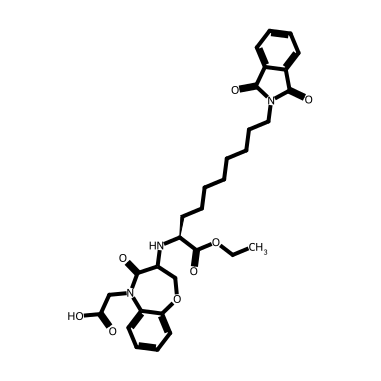 CCOC(=O)[C@H](CCCCCCCCN1C(=O)c2ccccc2C1=O)NC1COc2ccccc2N(CC(=O)O)C1=O